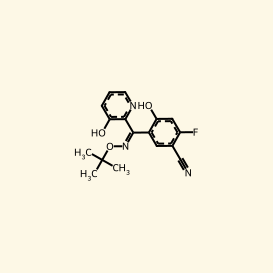 CC(C)(C)ON=C(c1cc(C#N)c(F)cc1O)c1ncccc1O